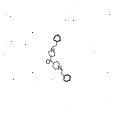 O=C(C1CCN(CCc2ccccc2)CC1)C1CCN(CCc2ccccc2)CC1